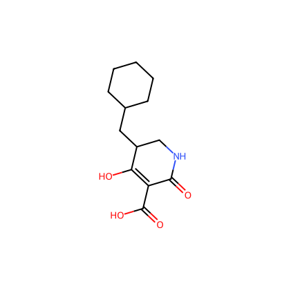 O=C(O)C1=C(O)C(CC2CCCCC2)CNC1=O